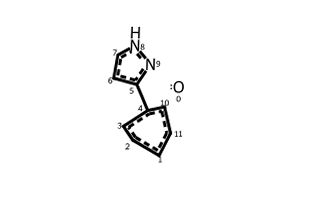 [O].c1ccc(-c2cc[nH]n2)cc1